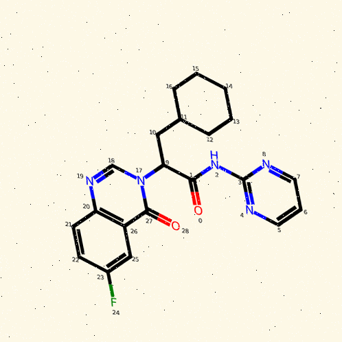 O=C(Nc1ncccn1)C(CC1CCCCC1)n1cnc2ccc(F)cc2c1=O